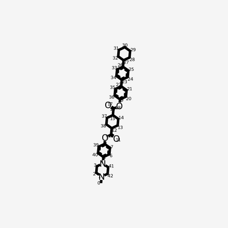 CN1CCN(c2ccc(OC(=O)C3CCC(C(=O)Oc4ccc(-c5ccc(C6CCCCC6)cc5)cc4)CC3)cc2)CC1